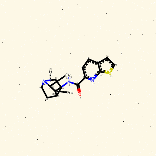 C[C@H]1[C@H](NC(=O)c2ccc3ccsc3n2)C2CCN1CC2